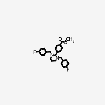 COC(=O)c1ccc(C2N(Cc3ccc(F)cc3)CCCN2Cc2ccc(F)cc2)cc1